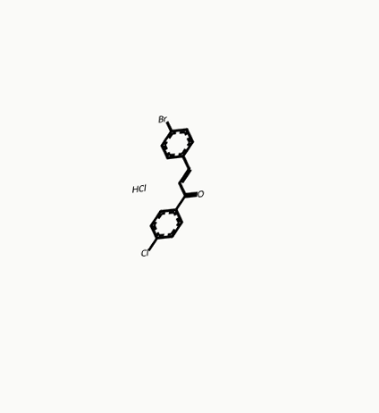 Cl.O=C(C=Cc1ccc(Br)cc1)c1ccc(Cl)cc1